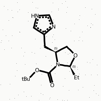 CC[C@@H]1OC[C@H](Cc2c[nH]cn2)N1C(=O)OC(C)(C)C